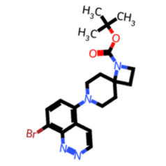 CC(C)(C)OC(=O)N1CCC12CCN(c1ccc(Br)c3nnccc13)CC2